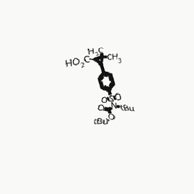 CC(C)(C)OC(=O)N(C(C)(C)C)S(=O)(=O)c1ccc(C2[C@H](C(=O)O)C2(C)C)cc1